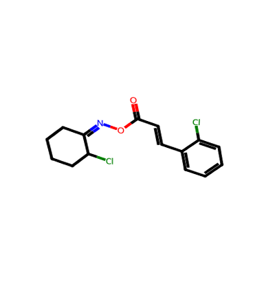 O=C(C=Cc1ccccc1Cl)ON=C1CCCCC1Cl